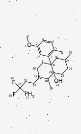 COc1ccc(C)c(C23CCN(CCC(F)(F)P)C(C)C2(O)CCC(C)C3)c1